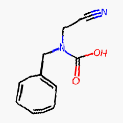 N#CCN(Cc1ccccc1)C(=O)O